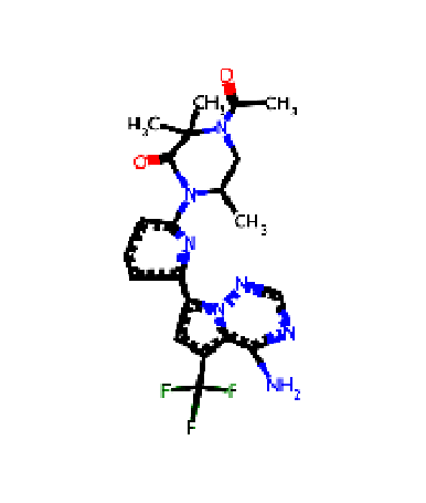 CC(=O)N1CC(C)N(c2cccc(-c3cc(C(F)(F)F)c4c(N)ncnn34)n2)C(=O)C1(C)C